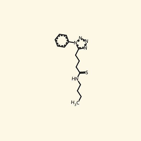 CCCCNC(=S)CCCc1nnnn1-c1ccccc1